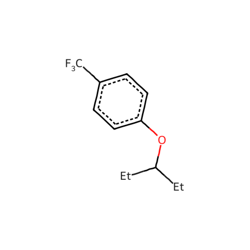 CCC(CC)Oc1ccc(C(F)(F)F)cc1